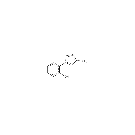 C[n+]1ccn(-c2ccccc2O)c1.[I-]